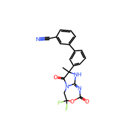 CC1(c2cccc(-c3cccc(C#N)c3)c2)NC2=NC(=O)OC(F)(F)CN2C1=O